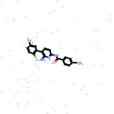 Cc1ccc(C(=O)Nc2ccc(-c3cc(C(F)(F)F)ccc3Cl)c(N)n2)cc1